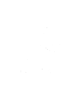 CC1(C)CC(O)CC(C)(C)N1Oc1ccc(Br)cc1Br